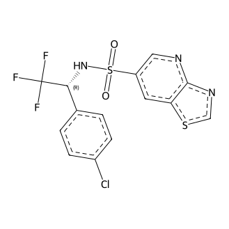 O=S(=O)(N[C@H](c1ccc(Cl)cc1)C(F)(F)F)c1cnc2ncsc2c1